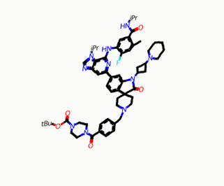 Cc1cc(F)c(Nc2nc(-c3ccc4c(c3)N(C3CC(N5CCCCC5)C3)C(=O)C43CCN(Cc4ccc(C(=O)N5CCN(C(=O)OC(C)(C)C)CC5)cc4)CC3)cc3ncn(C(C)C)c23)cc1C(=O)NC(C)C